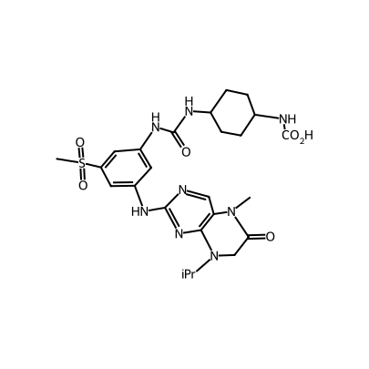 CC(C)N1CC(=O)N(C)c2cnc(Nc3cc(NC(=O)NC4CCC(NC(=O)O)CC4)cc(S(C)(=O)=O)c3)nc21